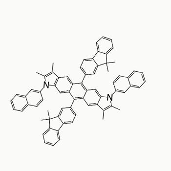 Cc1c(C)n(-c2ccc3ccccc3c2)c2cc3c(-c4ccc5c(c4)C(C)(C)c4ccccc4-5)c4cc5c(C)c(C)n(-c6ccc7ccccc7c6)c5cc4c(-c4ccc5c(c4)C(C)(C)c4ccccc4-5)c3cc12